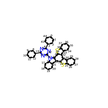 c1ccc(-c2nc(-c3ccccc3)nc(-n3c4ccccc4c4c5sc6ccccc6c5c5c6ccccc6sc5c43)n2)cc1